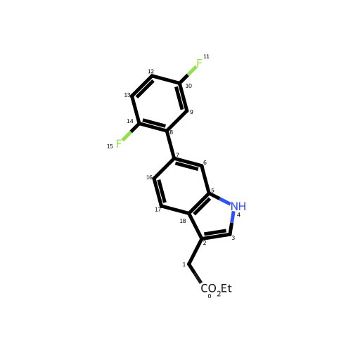 CCOC(=O)Cc1c[nH]c2cc(-c3cc(F)ccc3F)ccc12